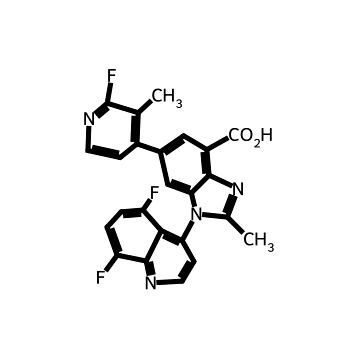 Cc1c(-c2cc(C(=O)O)c3nc(C)n(-c4ccnc5c(F)ccc(F)c45)c3c2)ccnc1F